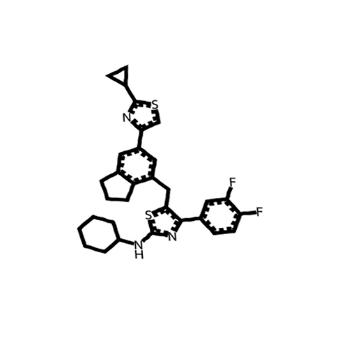 Fc1ccc(-c2nc(NC3CCCCC3)sc2Cc2cc(-c3csc(C4CC4)n3)cc3c2CCC3)cc1F